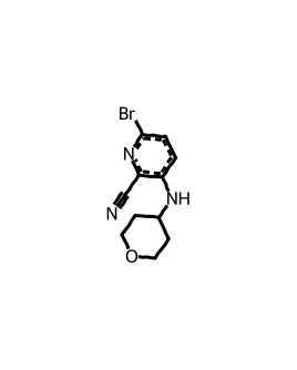 N#Cc1nc(Br)ccc1NC1CCOCC1